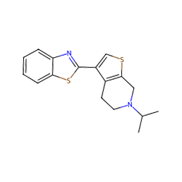 CC(C)N1CCc2c(-c3nc4ccccc4s3)csc2C1